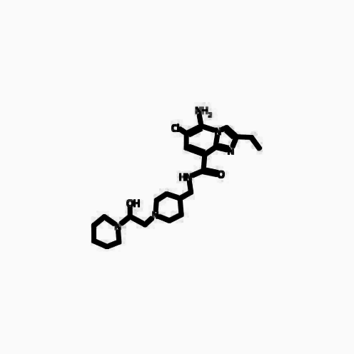 CCc1cn2c(N)c(Cl)cc(C(=O)NCC3CCN(CC(O)N4CCCCC4)CC3)c2n1